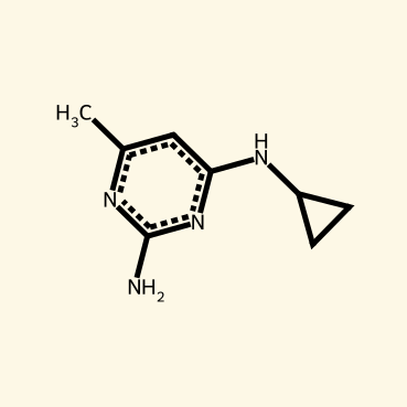 Cc1cc(NC2CC2)nc(N)n1